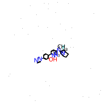 CN1C2CCC1[C@H](F)[C@@H](N(C)c1ccc(-c3ccc(-n4ccnc4)cc3O)nn1)C2